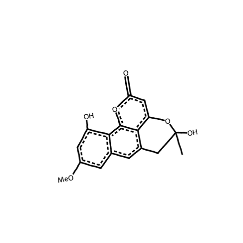 COc1cc(O)c2c(c1)cc1c3c(cc(=O)oc32)OC(C)(O)C1